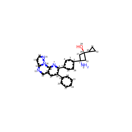 N[C@]1(c2ccc(-c3nc4c(cnc5ccnn54)cc3-c3ccccc3)cc2)C[C@](O)(C2CC2)C1